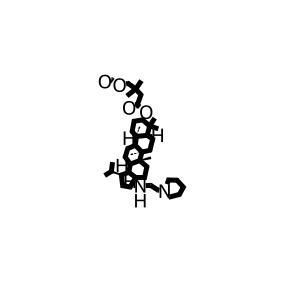 CC(C)[C@@H]1CC[C@]2(NCCN3CCCCC3)CC[C@]3(C)[C@H](CC[C@@H]4[C@@]5(C)CC[C@H](OC(=O)CC(C)(C)COC=O)C(C)(C)[C@@H]5CC[C@]43C)[C@@H]12